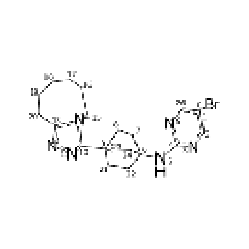 Brc1cnc(NC23CCC(c4nnc5n4CCCCCC5)(CC2)CC3)nc1